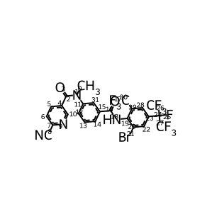 CN(C(=O)c1ccc(C#N)nc1)c1cccc(C(=O)Nc2c(Br)cc(C(F)(C(F)(F)F)C(F)(F)F)cc2C(F)(F)F)c1